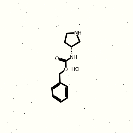 Cl.O=C(N[C@@H]1CCNC1)OCc1ccccc1